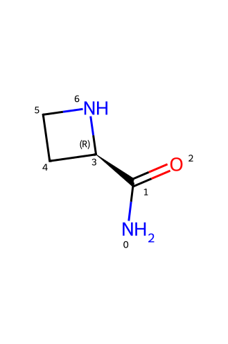 NC(=O)[C@H]1CCN1